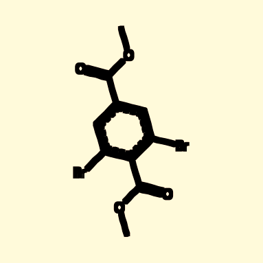 COC(=O)c1cc(Br)c(C(=O)OC)c(Br)c1